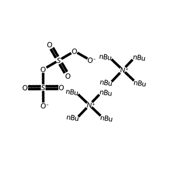 CCCC[N+](CCCC)(CCCC)CCCC.CCCC[N+](CCCC)(CCCC)CCCC.O=S(=O)([O-])OS(=O)(=O)O[O-]